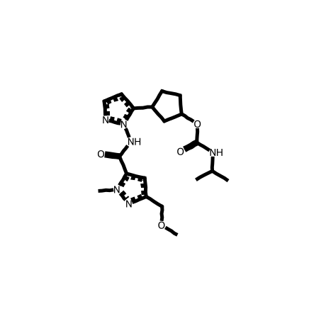 COCc1cc(C(=O)Nn2nccc2C2CCC(OC(=O)NC(C)C)C2)n(C)n1